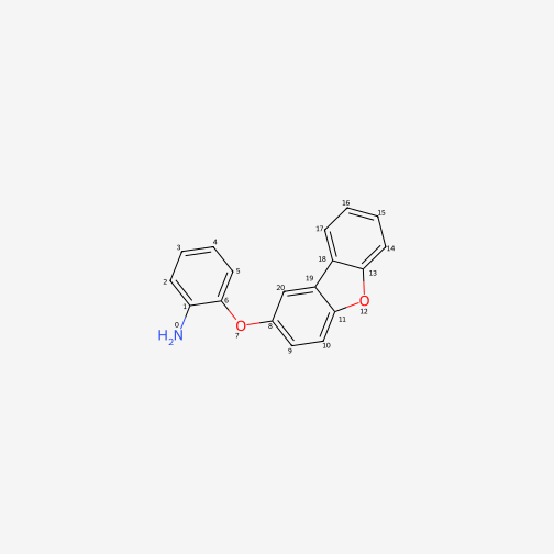 Nc1ccccc1Oc1ccc2oc3ccccc3c2c1